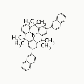 CC1(C)c2cccc3c2N2c4c1cc(-c1ccc5ccccc5c1)cc4C(C)(C)c1cc(-c4ccc5ccccc5c4)cc(c12)C3(C)C